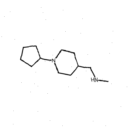 CNCC1CCN(C2CCCC2)CC1